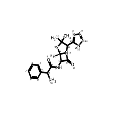 CC1(C)S[C@H]2C(NC(=O)C(N)c3ccccc3)C(=O)N2C1c1nnn[nH]1